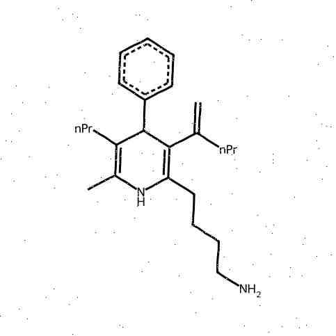 C=C(CCC)C1=C(CCCCN)NC(C)=C(CCC)C1c1ccccc1